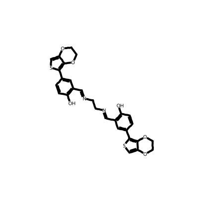 Oc1ccc(-c2scc3c2OCCO3)cc1/C=N/CC/N=C/c1cc(-c2scc3c2OCCO3)ccc1O